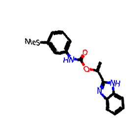 CSc1cccc(NC(=O)OC(C)c2nc3ccccc3[nH]2)c1